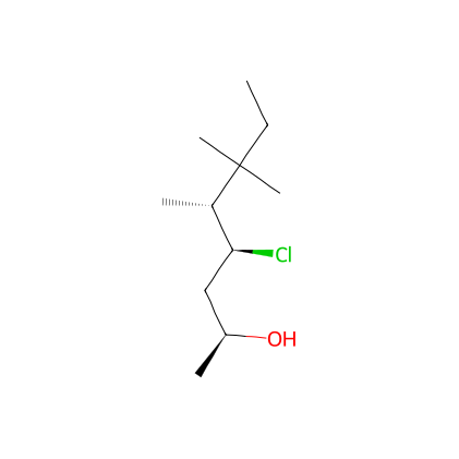 CCC(C)(C)[C@@H](C)[C@@H](Cl)C[C@H](C)O